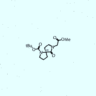 COC(=O)CN1CC[C@]2(CCCN2C(=O)OC(C)(C)C)C1=O